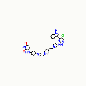 O=C1CCC(Nc2ccc(N3CC(CN4CCC(CCN5CCC(Nc6ncc(Cl)c(-c7c[nH]c8ccccc78)n6)C5)CC4)C3)cc2)C(=O)N1